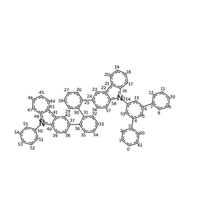 c1ccc(-c2cc(-c3ccccc3)cc(-n3c4ccccc4c4cc(-c5ccccc5-c5ccccc5-c5ccc6c(c5)c5ccccc5n6-c5ccccc5)ccc43)c2)cc1